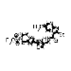 CCc1nc2ncc(C)cn2c1C(=O)NCc1coc(-c2nc3n(n2)CCN(S(=O)(=O)C(F)(F)F)C3)n1